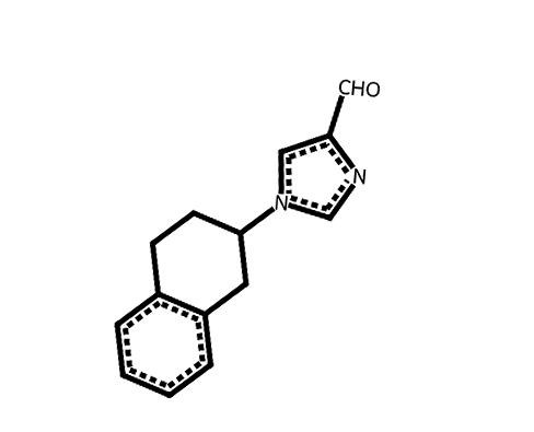 O=Cc1cn(C2CCc3ccccc3C2)cn1